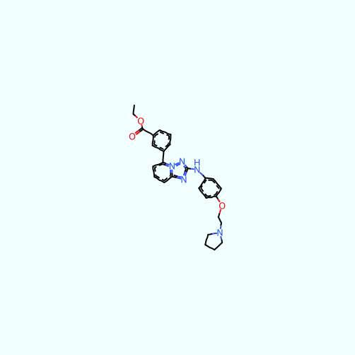 CCOC(=O)c1cccc(-c2cccc3nc(Nc4ccc(OCCN5CCCC5)cc4)nn23)c1